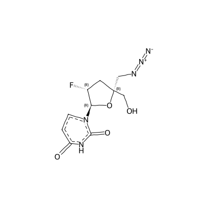 [N-]=[N+]=NC[C@@]1(CO)C[C@@H](F)[C@H](n2ccc(=O)[nH]c2=O)O1